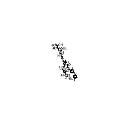 C[C@H](O)[C@H](O)[C@@H](O)[C@@H](O)CN(CC(=O)NCCOC[C@@]12C[C@@H]1N(C(=O)CNC(=O)c1ccc(Oc3ccc(F)cc3)cc1)[C@H](C(=O)N[C@H](C)c1cc(C(=N)NC(=O)OC(C)(C)C)cs1)C2)C(=O)OC(C)(C)C